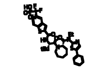 CCN(C(=O)[C@@H]1CCCCCN1C(=O)[C@@H](NC(=O)c1cc2cc(C(F)(F)P(=O)(O)O)ccc2s1)C(C)(C)C)c1ncc(-c2ccccc2)s1